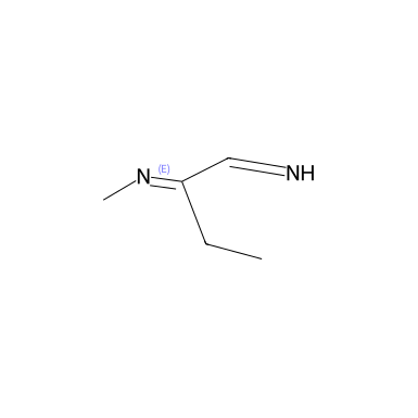 CC/C(C=N)=N\C